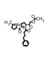 CC(=O)OCC(=O)[C@@H]1CC[C@H](C(=O)[C@@H]2CCC(C)N2)N1C(=O)CCCc1ccccc1